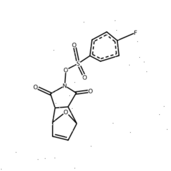 O=C1C2C3C=CC(O3)C2C(=O)N1OS(=O)(=O)c1ccc(F)cc1